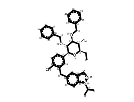 CC[C@H]1O[C@@H](c2ccc(Cl)c(Cc3ccc4c(cnn4C(C)C)c3)c2)[C@H](OCc2ccccc2)[C@@H](OCc2ccccc2)[C@@H]1C